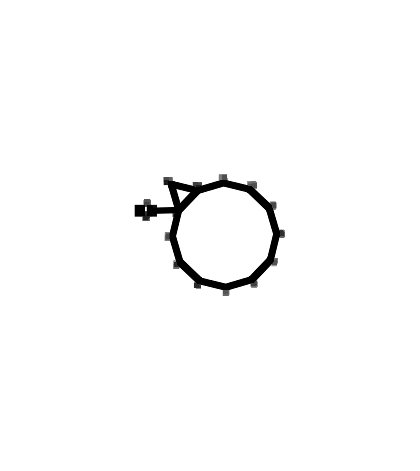 NC12CCCCCCCCCCC1C2